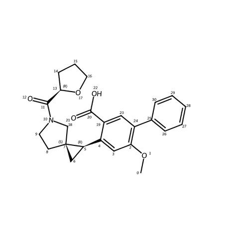 COc1cc([C@H]2C[C@]23CCN(C(=O)[C@H]2CCCO2)C3)c(C(=O)O)cc1-c1ccccc1